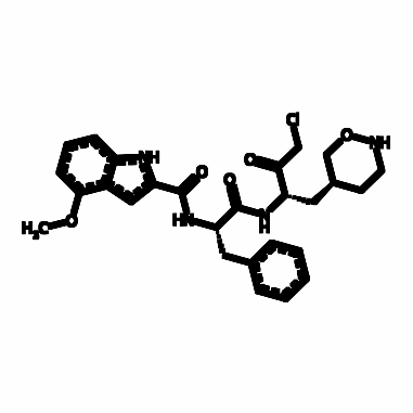 COc1cccc2[nH]c(C(=O)N[C@@H](Cc3ccccc3)C(=O)N[C@@H](C[C@@H]3CCNOC3)C(=O)CCl)cc12